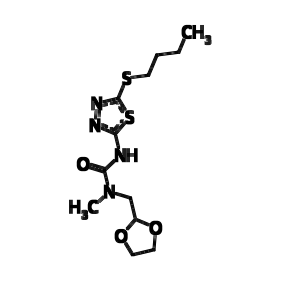 CCCCSc1nnc(NC(=O)N(C)CC2OCCO2)s1